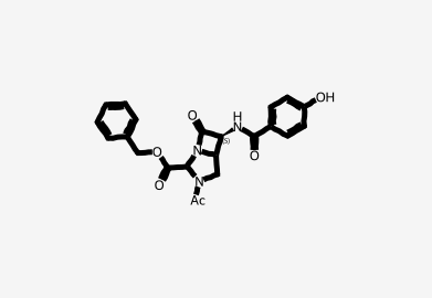 CC(=O)N1CC2[C@H](NC(=O)c3ccc(O)cc3)C(=O)N2C1C(=O)OCc1ccccc1